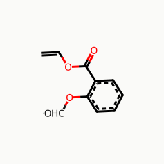 C=COC(=O)c1ccccc1O[C]=O